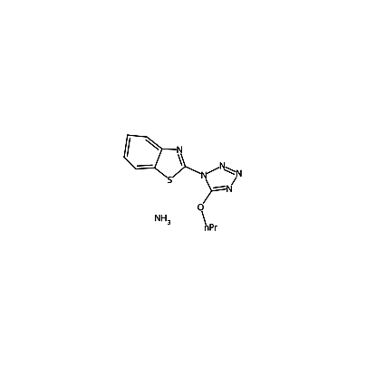 CCCOc1nnnn1-c1nc2ccccc2s1.N